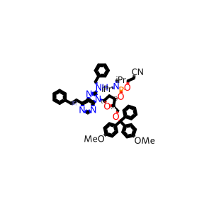 COc1ccc(C(OC[C@H]2O[C@@H](n3c(NCc4ccccc4)nc4c(/C=C/c5ccccc5)ncnc43)C[C@@H]2OP(OCCC#N)N(C(C)C)C(C)C)(c2ccccc2)c2ccc(OC)cc2)cc1